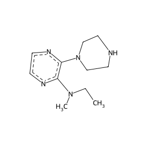 CCN(C)c1nccnc1N1CCNCC1